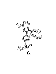 C[C@H](N)c1nc(N(C)C)nn1-c1ccc(N(C)C(=O)C2CC2)cn1.Cl